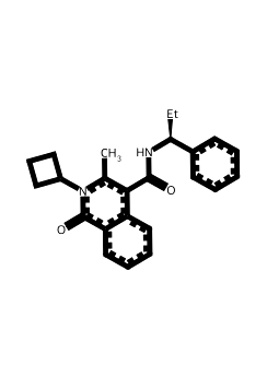 CC[C@H](NC(=O)c1c(C)n(C2CCC2)c(=O)c2ccccc12)c1ccccc1